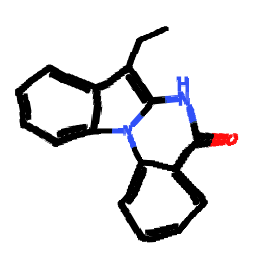 CCc1c2ccccc2n2c1[nH]c(=O)c1ccccc12